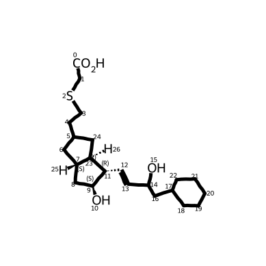 O=C(O)CSCCC1C[C@H]2C[C@H](O)[C@@H](C=CC(O)CC3CCCCC3)[C@@H]2C1